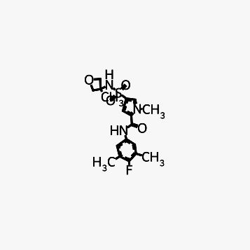 Cc1cc(NC(=O)c2cc(S(=O)(=O)NC3(C)COC3)cn2C)cc(C)c1F